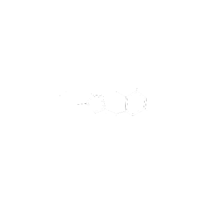 O=C(O)Oc1cn(Cc2ccccc2Cl)nn1